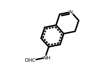 O=CNc1ccc2c(c1)CCN=C2